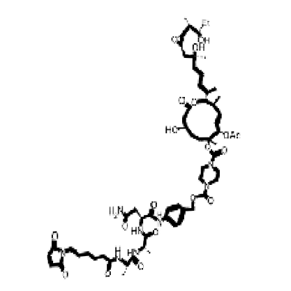 CC[C@H](O)[C@@H](C)[C@H]1O[C@@H]1C[C@@](C)(O)/C=C/C=C(\C)[C@H]1OC(=O)C[C@H](O)CC[C@@](C)(OC(=O)N2CCN(C(=O)OCc3ccc(NC(=O)[C@H](CC(N)=O)NC(=O)[C@H](C)NC(=O)[C@H](C)NC(=O)CCCCCN4C(=O)C=CC4=O)cc3)CC2)[C@@H](OC(C)=O)/C=C/[C@@H]1C